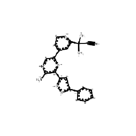 CC(C)(C#N)c1cc(-c2cnc(N)c(-c3cc(-c4ccccc4)no3)n2)ccn1